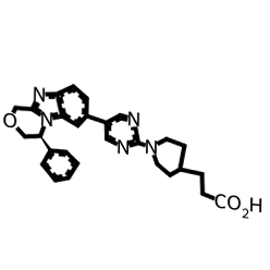 O=C(O)CCC1CCN(c2ncc(-c3ccc4nc5n(c4c3)[C@@H](c3ccccc3)COC5)cn2)CC1